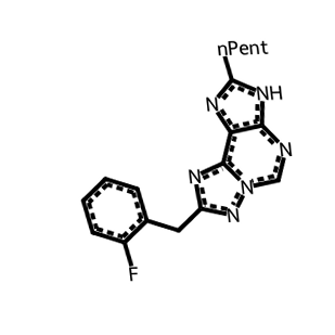 CCCCCc1nc2c(ncn3nc(Cc4ccccc4F)nc23)[nH]1